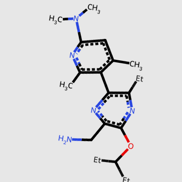 CCc1nc(OC(CC)CC)c(CN)nc1-c1c(C)cc(N(C)C)nc1C